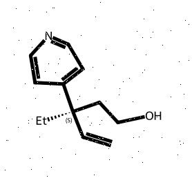 C=C[C@](CC)(CCO)c1ccncc1